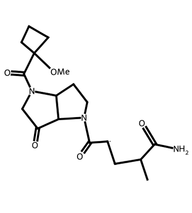 COC1(C(=O)N2CC(=O)C3C2CCN3C(=O)[CH]CC(C)C(N)=O)CCC1